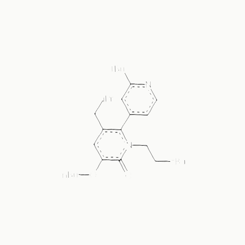 CCCCOc1cc(CC(C)C)c(-c2ccnc(C(C)(C)C)c2)n(CCC(C)(C)C)c1=O